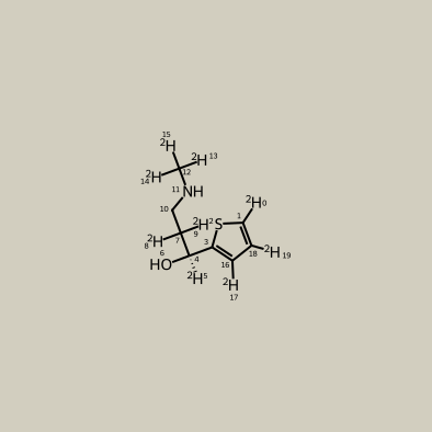 [2H]c1sc([C@@]([2H])(O)C([2H])([2H])CNC([2H])([2H])[2H])c([2H])c1[2H]